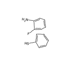 Nc1ccccc1F.Sc1ccccc1